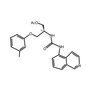 CC(=O)OC[C@H](COc1cccc(C)c1)NC(=O)Nc1cccc2cnccc12